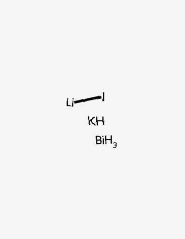 [BiH3].[KH].[Li][I]